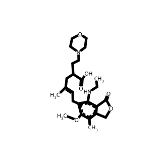 CCNc1c(C/C=C(\C)CC(CCN2CCOCC2)C(=O)O)c(OC)c(C)c2c1C(=O)OC2